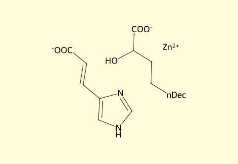 CCCCCCCCCCCCC(O)C(=O)[O-].O=C([O-])C=Cc1c[nH]cn1.[Zn+2]